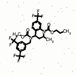 CCCOC(=O)N1c2cc(C(F)(F)F)ccc2C(N(Cc2cc(C(F)(F)F)cc(C(F)(F)F)c2)C(=O)OC)CC1C